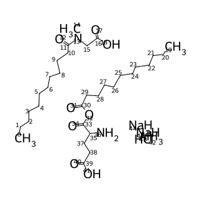 CCCCCCCCCCCC(=O)N(C)CC(=O)O.CCCCCCCCCCCC(=O)OC(=O)C(N)CCC(=O)O.Cl.[AlH3].[NaH].[NaH]